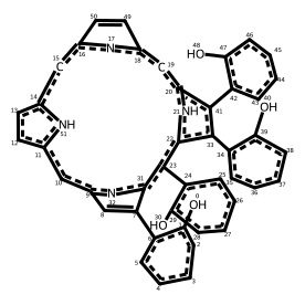 Oc1ccccc1C1=Cc2cc3ccc(cc4nc(cc5[nH]c(c(-c6ccccc6O)c1n2)c(-c1ccccc1O)c5-c1ccccc1O)C=C4)[nH]3